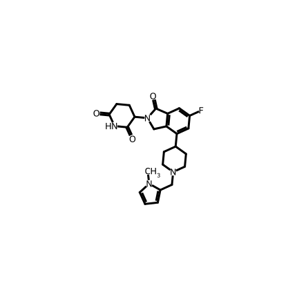 Cn1cccc1CN1CCC(c2cc(F)cc3c2CN(C2CCC(=O)NC2=O)C3=O)CC1